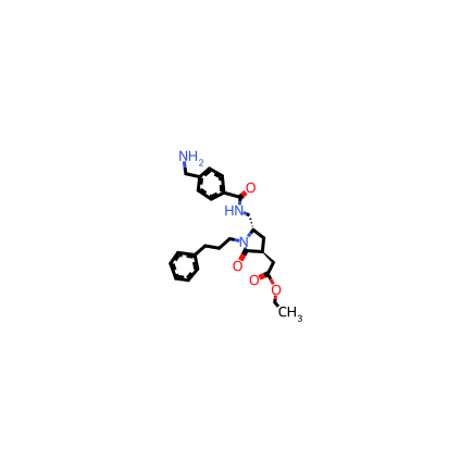 CCOC(=O)C[C@@H]1C[C@@H](CNC(=O)c2ccc(CN)cc2)N(CCCc2ccccc2)C1=O